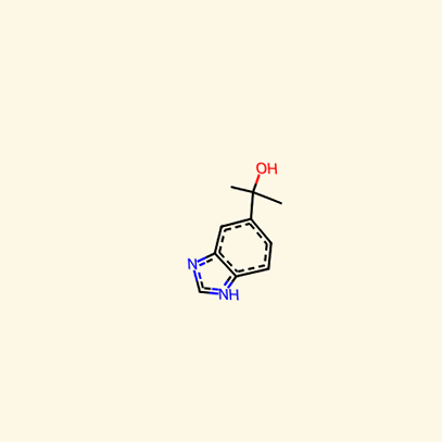 CC(C)(O)c1ccc2[nH]cnc2c1